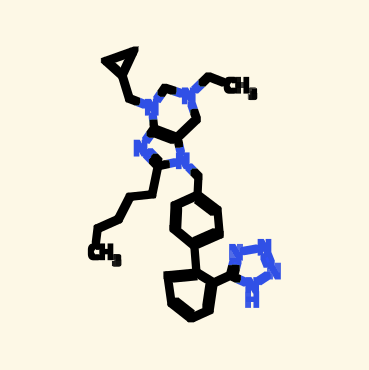 CCCCCc1nc2c(n1Cc1ccc(-c3ccccc3-c3nnn[nH]3)cc1)CN(CC)CN2CC1CC1